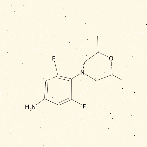 CC1CN(c2c(F)cc(N)cc2F)CC(C)O1